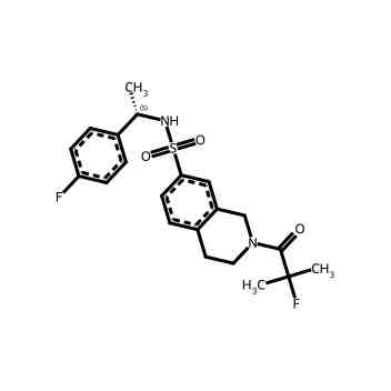 C[C@H](NS(=O)(=O)c1ccc2c(c1)CN(C(=O)C(C)(C)F)CC2)c1ccc(F)cc1